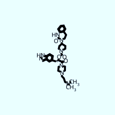 CN(C)CCCN1CCN(C(=O)[C@@H](Cc2ccc3[nH]ncc3c2)OC(=O)N2CCC(N3CCc4ccccc4NC3=O)CC2)CC1